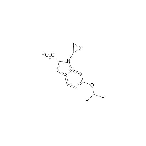 O=C(O)c1cc2ccc(OC(F)F)cc2n1C1CC1